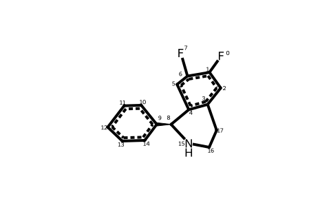 Fc1cc2c(cc1F)[C@H](c1ccccc1)NCC2